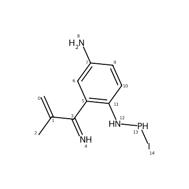 C=C(C)C(=N)c1cc(N)ccc1NPI